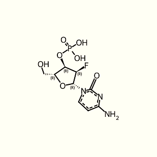 Nc1ccn([C@@H]2O[C@H](CO)[C@@H](OP(=O)(O)O)[C@H]2F)c(=O)n1